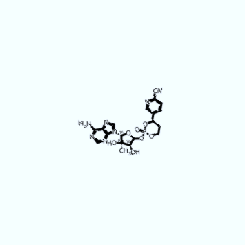 C[C@@]1(O)[C@H](O)C(OP2(=O)OCCC(c3ccc(C#N)nc3)O2)O[C@H]1n1cnc2c(N)ncnc21